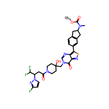 CN(C(=O)OC(C)(C)C)C1Cc2ccc(-c3snc4c(=O)n(CC5(O)CCN(C(=O)CC(C(F)F)n6ccc(F)n6)CC5)cnc34)cc2C1